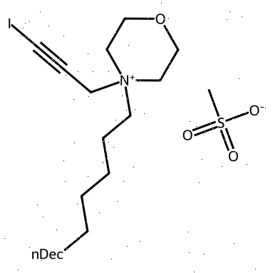 CCCCCCCCCCCCCCC[N+]1(CC#CI)CCOCC1.CS(=O)(=O)[O-]